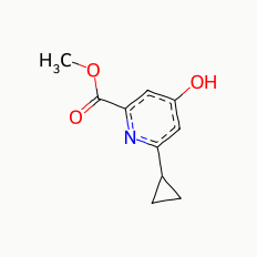 COC(=O)c1cc(O)cc(C2CC2)n1